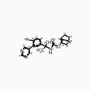 CC(C)(NC(=O)OC1CN2CCC1CC2)c1ccc(F)c(-c2cncnc2)c1